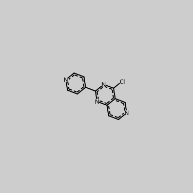 Clc1nc(-c2ccncc2)nc2ccncc12